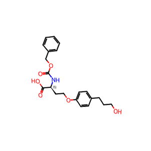 O=C(N[C@@H](CCOc1ccc(CCCO)cc1)C(=O)O)OCc1ccccc1